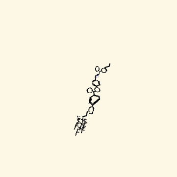 CCCOC(=O)/C=C/c1ccc(OC(=O)c2ccc(OCCCC(F)(F)C(F)(F)C(F)(F)F)cc2)cc1